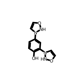 Oc1ccc(N2C=CON2)cc1N1C=CON1